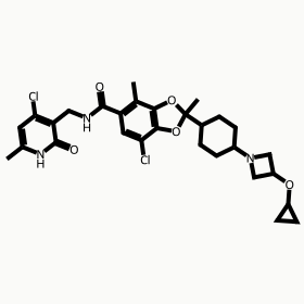 Cc1cc(Cl)c(CNC(=O)c2cc(Cl)c3c(c2C)OC(C)(C2CCC(N4CC(OC5CC5)C4)CC2)O3)c(=O)[nH]1